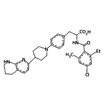 CCc1cc(Cl)cc(C)c1C(=O)NC(Cc1ccc(N2CCC(c3ccc4c(n3)NCCC4)CC2)cc1)C(=O)O